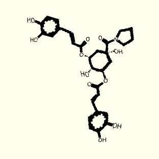 O=C(/C=C/c1ccc(O)c(O)c1)O[C@@H]1C[C@](O)(C(=O)N2CCCC2)C[C@@H](OC(=O)/C=C/c2ccc(O)c(O)c2)[C@H]1O